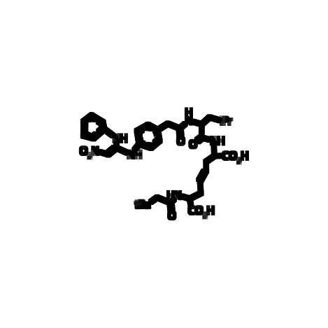 CC(C)CC(NC(=O)Cc1ccc(NC(=C[N+](=O)[O-])Nc2ccccc2)cc1)C(=O)NC(CC=CCC(NC(=O)CC(C)(C)C)C(=O)O)C(=O)O